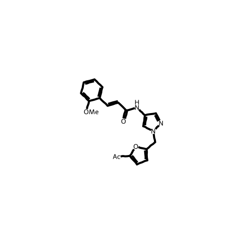 COc1ccccc1C=CC(=O)Nc1cnn(Cc2ccc(C(C)=O)o2)c1